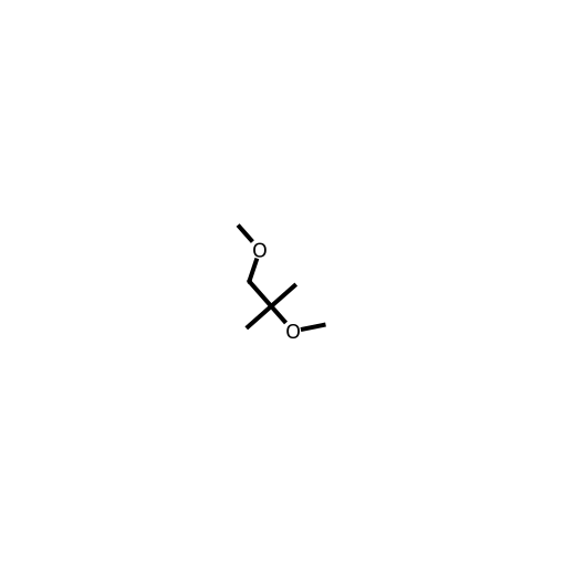 COCC(C)(C)OC